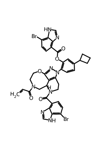 C=CC(=O)N1CCOc2nn(-c3ccc(C4CCC4)cc3OC(=O)c3ccc(Br)c4[nH]cnc34)c3c2[C@H](C1)N(C(=O)c1ccc(Br)c2[nH]cnc12)CC3